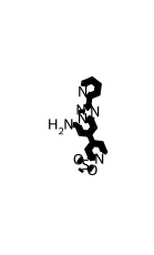 CS(=O)(=O)c1cc(-c2cc(N)n3nc(-c4ccccn4)nc3c2)ccn1